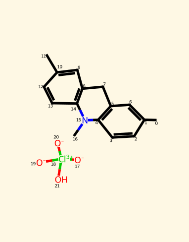 Cc1ccc2c(c1)Cc1cc(C)ccc1N2C.[O-][Cl+3]([O-])([O-])O